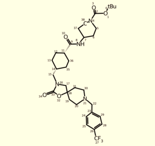 CC(C)(C)OC(=O)N1CCC(NC(=O)[C@H]2CC[C@@H](CN3CC4(CCN(Cc5ccc(C(F)(F)F)cc5)CC4)OC3=O)CC2)CC1